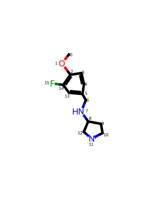 COc1ccc(CNC2CC[N]C2)cc1F